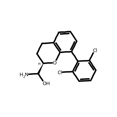 NC(O)[C@H]1CCc2cccc(-c3c(Cl)cccc3Cl)c2O1